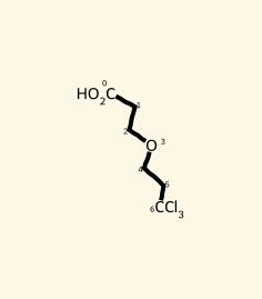 O=C(O)CCOCCC(Cl)(Cl)Cl